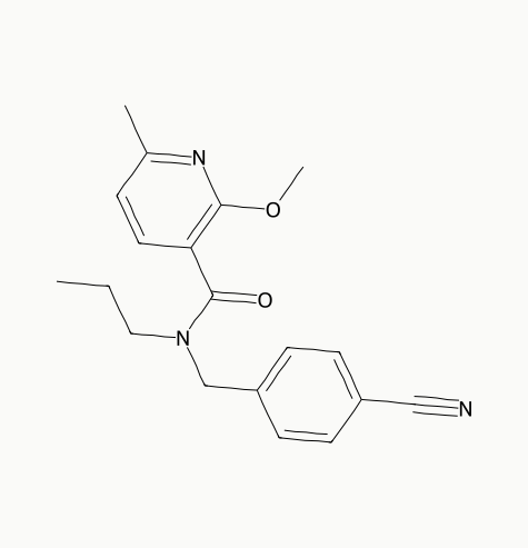 CCCN(Cc1ccc(C#N)cc1)C(=O)c1ccc(C)nc1OC